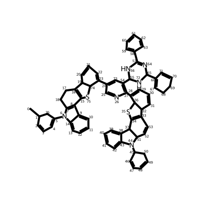 CC1C=CC=C(n2c3c(c4ccccc42)C2=C(CC3)C3C=CC=C(c4cnc(C5=CC=CC6C7=C(SC56)C5c6ccccc6N(C6C=CC=CC6)C5C=C7)c(C5NC(c6ccccc6)=NC(C6=CCCC=C6)N5)c4)C3S2)C1